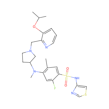 Cc1cc(S(=O)(=O)Nc2cscn2)c(F)cc1N(C)C1CCN(Cc2ncccc2OC(C)C)C1